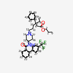 CCCOC(=O)CC(CC)(CCCN1CCC(NC(=O)c2ccccc2-c2ccc(C(F)(F)F)cc2)CC1)c1ccccc1